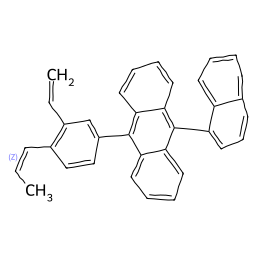 C=Cc1cc(-c2c3ccccc3c(-c3cccc4ccccc34)c3ccccc23)ccc1/C=C\C